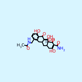 CC(=O)NCc1ccc(O)c2c1CC1CC3CC(O)=C(C(N)=O)C(=O)[C@@]3(O)C(O)=C1C2=O